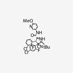 COc1ccc(NC(=O)[C@@H]2N[C@@H](CC(C)(C)C)[C@](C#N)(c3ccc(Cl)cc3F)C2c2cccc(Cl)c2F)cn1